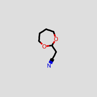 N#CCC1OCCCCO1